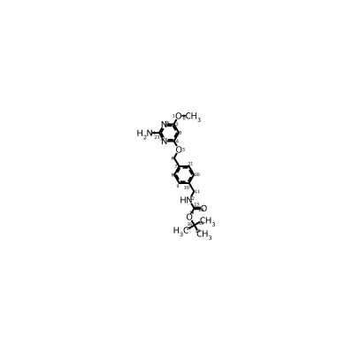 COc1cc(OCc2ccc(CNC(=O)OC(C)(C)C)cc2)nc(N)n1